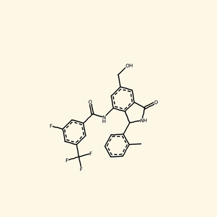 Cc1ccccc1C1NC(=O)c2cc(CO)cc(NC(=O)c3cc(F)cc(C(F)(F)F)c3)c21